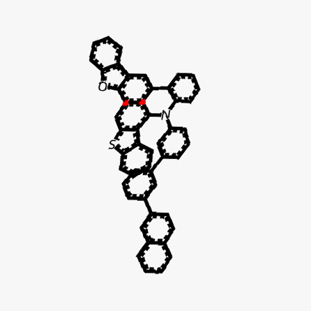 c1cc(-c2cccc(N(c3ccccc3-c3ccc4oc5ccccc5c4c3)c3cccc4sc5ccccc5c34)c2)cc(-c2ccc3ccccc3c2)c1